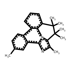 Cc1ccc2c(c1)c1nc(C)c3n1c1c(cccc21)C(C)(C)C3(C)C